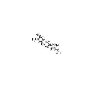 C=N/C(=C\C=C(C)C)C(=O)N[C@H]1CC[C@H](Oc2ccc(C#N)c(C(F)(F)F)c2)CC1